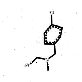 CC(C)CN(C)Cc1ccc(Cl)cc1